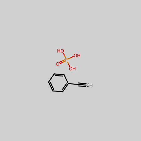 C#Cc1ccccc1.O=P(O)(O)O